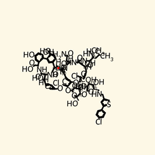 CN[C@H](CC(C)C)C(=O)NC1C(=O)N[C@@H](CC(N)=O)C(=O)N[C@H]2C(=O)N[C@H]3C(=O)N[C@H](C(=O)NC(C(=O)O)c4cc(O)cc(O)c4-c4cc3ccc4O)[C@H](O)c3ccc(c(Cl)c3)Oc3cc2cc(c3O[C@@H]2O[C@H](CO)[C@@H](O[C@@H]3O[C@H](CNCc4csc(-c5ccc(Cl)cc5)c4)[C@H](O)[C@H](O)[C@H]3O)[C@H](O)[C@H]2O)Oc2ccc(cc2Cl)[C@H]1O